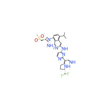 CC(C)c1ccc(N2C[C@H](CS(C)(=O)=O)[C@H]2N)c2cnc(Nc3ccnc(/C(C=N)=C4\CC[C@@H](C(F)F)N4)n3)cc12